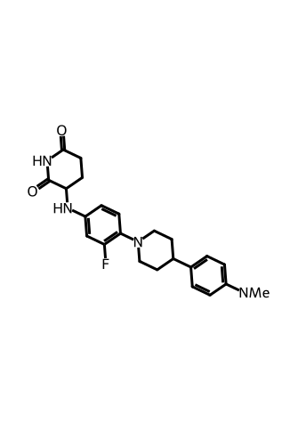 CNc1ccc(C2CCN(c3ccc(NC4CCC(=O)NC4=O)cc3F)CC2)cc1